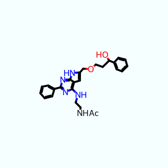 CC(=O)NCCNc1nc(-c2ccccc2)nc2[nH]c(COCCC(O)c3ccccc3)cc12